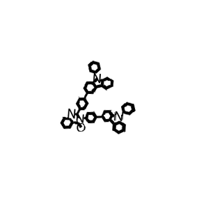 O=c1c2ccccc2nc(-c2ccc(-c3ccc4c(c3)c3ccccc3n4-c3ccccc3)cc2)n1-c1ccc(-c2ccc3c(c2)c2ccccc2n3-c2ccccc2)cc1